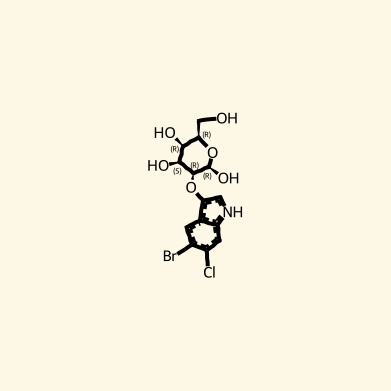 OC[C@H]1O[C@@H](O)[C@H](Oc2c[nH]c3cc(Cl)c(Br)cc23)[C@@H](O)[C@H]1O